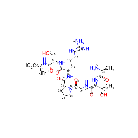 CC(C)[C@H](NC(=O)[C@H](CO)NC(=O)[C@H](CCCNC(=N)N)NC(=O)[C@@H]1CCCN1C(=O)CNC(=O)[C@@H](NC(=O)[C@H](C)N)[C@@H](C)O)C(=O)O